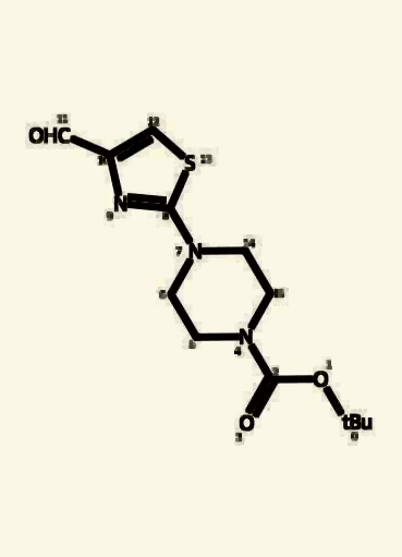 CC(C)(C)OC(=O)N1CCN(c2nc(C=O)cs2)CC1